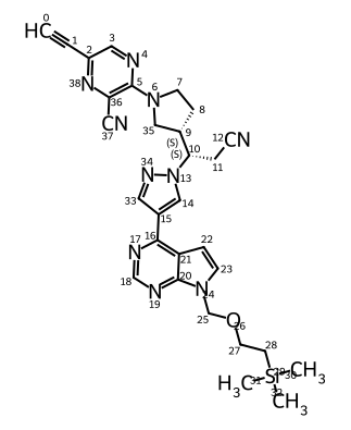 C#Cc1cnc(N2CC[C@H]([C@H](CC#N)n3cc(-c4ncnc5c4ccn5COCC[Si](C)(C)C)cn3)C2)c(C#N)n1